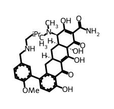 COc1ccc(CNCC(C)C)cc1-c1ccc(O)c2c1C[C@H]1C[C@H]3[C@@H](N(C)C)C(O)=C(C(N)=O)C(=O)[C@@]3(O)C(O)=C1C2=O